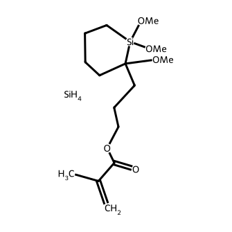 C=C(C)C(=O)OCCCC1(OC)CCCC[Si]1(OC)OC.[SiH4]